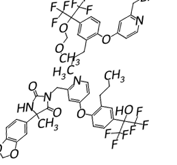 CCCc1cc(C(O)(C(F)(F)F)C(F)(F)F)ccc1Oc1ccnc(CN2C(=O)NC(C)(c3ccc4c(c3)OCO4)C2=O)c1.CCCc1cc(C(OCOC)(C(F)(F)F)C(F)(F)F)ccc1Oc1ccnc(CBr)c1